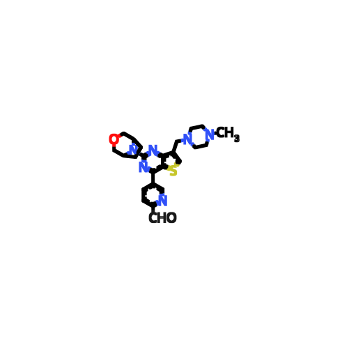 CN1CCN(Cc2csc3c(-c4ccc(C=O)nc4)nc(N4C5CCC4COC5)nc23)CC1